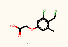 Cc1cc(OCC(=O)O)cc(Cl)c1CCl